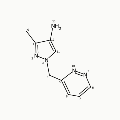 Cc1nn(Cc2cccnn2)cc1N